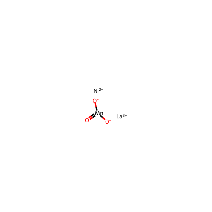 [La+3].[Ni+2].[O]=[Mn]([O-])[O-]